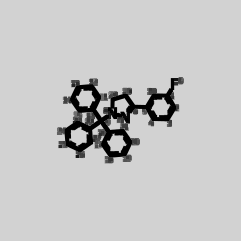 Fc1cccc(C2=NN(C(c3ccccc3)(c3ccccc3)c3ccccc3)CC2)c1